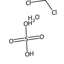 ClCCl.O.O=S(=O)(O)O